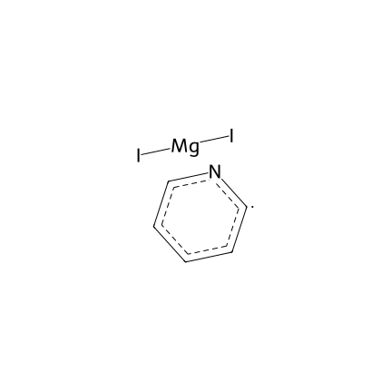 [I][Mg][I].[c]1ccccn1